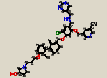 Cc1c(COc2cc(OCc3cncc(C#N)c3)c(CNCc3cncnc3)cc2Cl)cccc1-c1cccc(OCCCN2CCC(O)C2)c1C